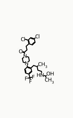 CC(CCNC(C)O)Cc1cc(C(F)(F)F)ccc1N1CCN(C(=O)CCc2ccc(Cl)cc2Cl)CC1